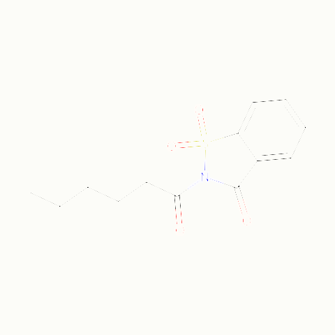 CCCCCC(=O)N1C(=O)c2ccccc2S1(=O)=O